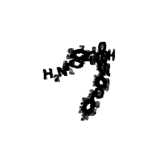 NCCOc1cccc(C[C@H](Nc2cc(-c3ccc(OCc4ccccc4)cc3)ncn2)C(=O)O)c1